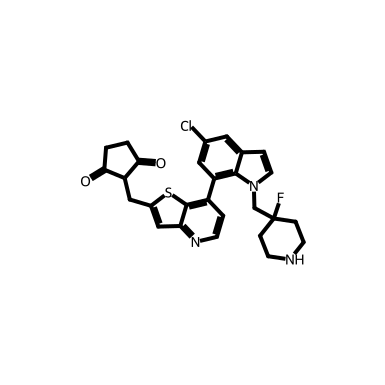 O=C1CCC(=O)C1Cc1cc2nccc(-c3cc(Cl)cc4ccn(CC5(F)CCNCC5)c34)c2s1